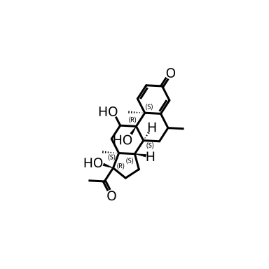 CC(=O)[C@@]1(O)CC[C@H]2[C@@H]3CC(C)C4=CC(=O)C=C[C@]4(C)[C@@]3(O)C(O)C[C@@]21C